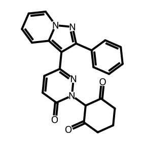 O=C1CCCC(=O)C1n1nc(-c2c(-c3ccccc3)nn3ccccc23)ccc1=O